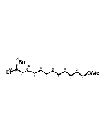 [CH2]OCCCCCCCCCOCC(CC)CCCC